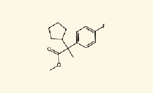 COC(=O)C(C)(c1ccc(F)cc1)C1CCCC1